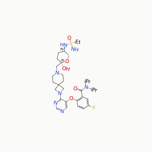 CCS(=N)(=O)N[C@@H]1CC[C@](O)(CN2CCC3(CC2)CN(c2ncncc2Oc2ccc(F)cc2C(=O)N(C(C)C)C(C)C)C3)OC1